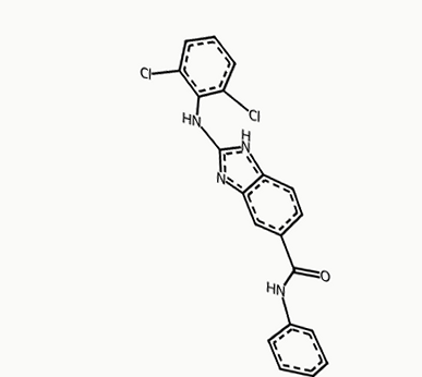 O=C(Nc1ccc(Br)cc1)c1ccc2[nH]c(Nc3c(Cl)cccc3Cl)nc2c1